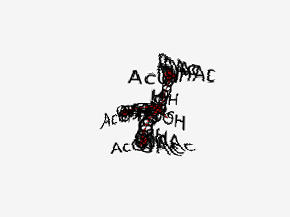 CC(=O)N[C@H]1[C@H](OCCOCCOCCOCC(=O)NCCCC[C@H](NC(=O)COCCOCCOCCO[C@@H]2O[C@H](COC(C)=O)[C@H](OC(C)=O)[C@H](OC(C)=O)[C@H]2NC(C)=O)C(=O)N[C@@H](CCCCNC(=O)COCCOCCOCCO[C@@H]2O[C@H](COC(C)=O)[C@H](OC(C)=O)[C@H](OC(C)=O)[C@H]2NC(C)=O)C(=O)NCCCCCCO)O[C@H](COC(C)=O)[C@H](OC(C)=O)[C@@H]1OC(C)=O